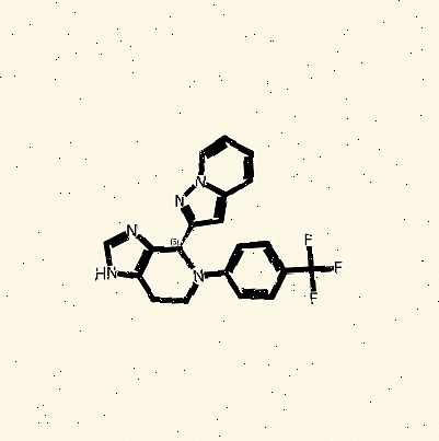 FC(F)(F)c1ccc(N2CCc3[nH]cnc3[C@H]2c2cc3ccccn3n2)cc1